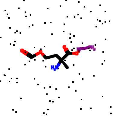 C[C@@](N)(CCOC=O)C(=O)OPP